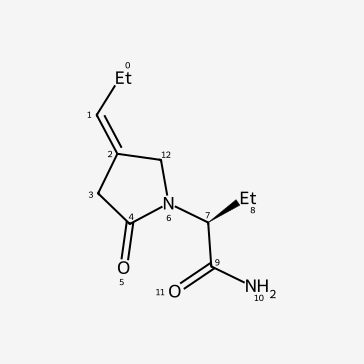 CC/C=C1/CC(=O)N([C@@H](CC)C(N)=O)C1